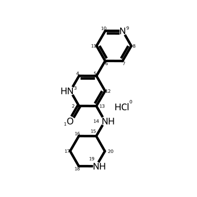 Cl.O=c1[nH]cc(-c2ccncc2)cc1NC1CCCNC1